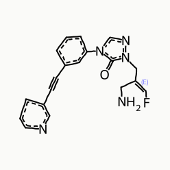 NC/C(=C\F)Cn1ncn(-c2cccc(C#Cc3cccnc3)c2)c1=O